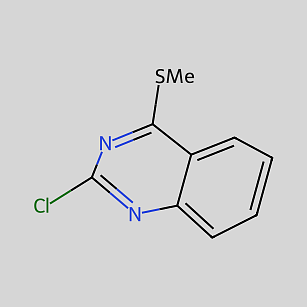 CSc1nc(Cl)nc2ccccc12